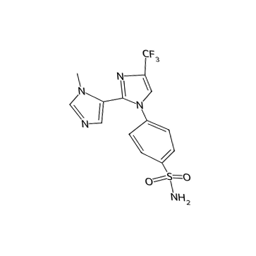 Cn1cncc1-c1nc(C(F)(F)F)cn1-c1ccc(S(N)(=O)=O)cc1